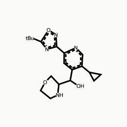 CC(C)(C)c1nc(-c2cc(C(O)C3COCCN3)c(C3CC3)cn2)no1